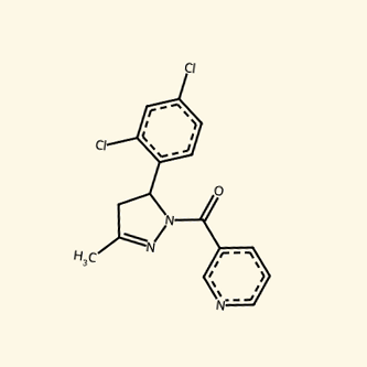 CC1=NN(C(=O)c2cccnc2)C(c2ccc(Cl)cc2Cl)C1